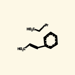 CC(C)CC(=O)O.O=C(O)C=Cc1ccccc1